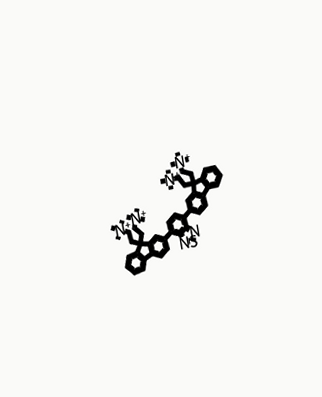 C[N+](C)(C)CCC1(CC[N+](C)(C)C)c2ccccc2-c2ccc(-c3ccc(-c4ccc5c(c4)C(CC[N+](C)(C)C)(CC[N+](C)(C)C)c4ccccc4-5)c4nsnc34)cc21